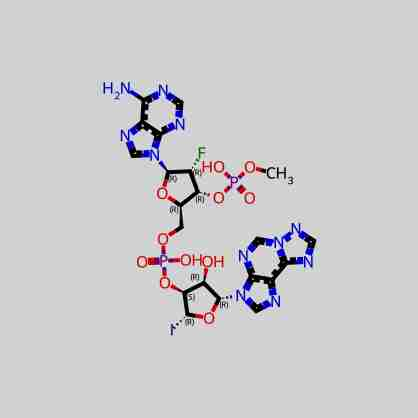 COP(=O)(O)O[C@H]1[C@@H](F)[C@H](n2cnc3c(N)ncnc32)O[C@@H]1COP(=O)(O)O[C@H]1[C@@H](O)[C@H](n2cnc3c2ncn2ncnc32)O[C@@H]1I